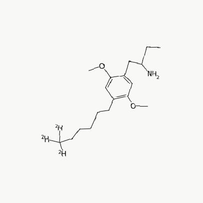 [2H]C([2H])([2H])CCCCCc1cc(OC)c(CC(N)CC)cc1OC